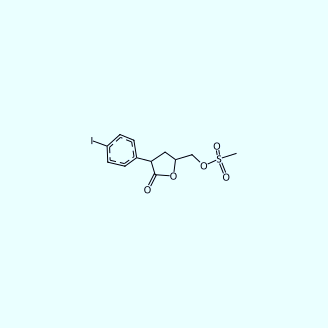 CS(=O)(=O)OCC1CC(c2ccc(I)cc2)C(=O)O1